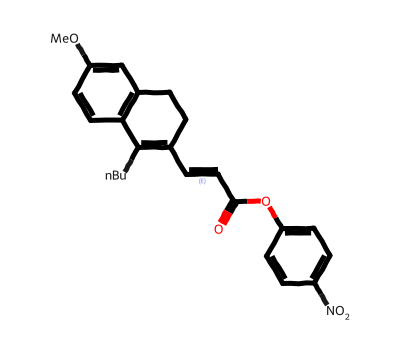 CCCCC1=C(/C=C/C(=O)Oc2ccc([N+](=O)[O-])cc2)CCc2cc(OC)ccc21